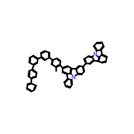 Cc1cc(-c2cccc(-c3cccc(-c4ccc(-c5ccccc5)cc4)c3)c2)ccc1-c1cc2c3ccccc3n3c4ccc(-c5ccc6c(c5)c5cccc7c8ccccc8n6c75)cc4c(c1)c23